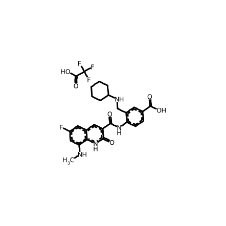 CNc1cc(F)cc2cc(C(=O)Nc3ccc(C(=O)O)cc3CNC3CCCCC3)c(=O)[nH]c12.O=C(O)C(F)(F)F